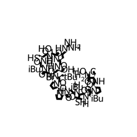 CC[C@H](C)[C@H](NC(=O)CBr)C(=O)N[C@@H](CS)C(=O)N[C@@H](CO)C(=O)N[C@@H](CCCNC(=N)N)C(=O)N[C@@H](CO)C(=O)N[C@@H](CC(C)(C)C)C(=O)N1CCC[C@H]1C(=O)N1CCC[C@H]1C(=O)N[C@H](C(=O)N[C@H](C(=O)N[C@H](C(=O)N1CCC[C@H]1C(=O)N[C@@H](CC(=O)O)C(N)=O)[C@@H](C)CC)C(C)(C)S)[C@@H](C)CC